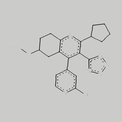 COC1CCc2nc(C3CCCC3)c(-c3nn[nH]n3)c(-c3ccnc(C)c3)c2C1